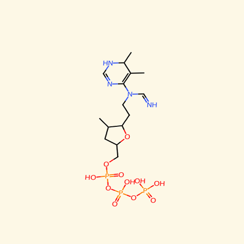 CC1=C(N(C=N)CCC2OC(COP(=O)(O)OP(=O)(O)OP(=O)(O)O)CC2C)N=CNC1C